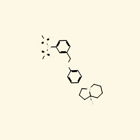 CS(=O)(=O)N(c1cccc(COc2ccc([C@H]3CC[C@H]4CCCCN43)cc2)c1)S(C)(=O)=O